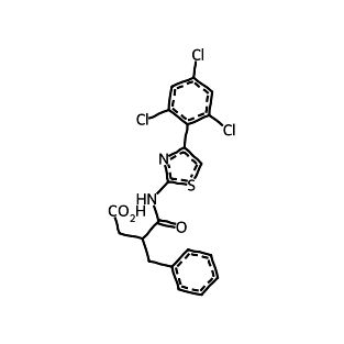 O=C(O)CC(Cc1ccccc1)C(=O)Nc1nc(-c2c(Cl)cc(Cl)cc2Cl)cs1